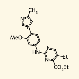 CCOC(=O)c1nc(Nc2ccc(-n3cnc(C)c3)c(OC)c2)ncc1CC